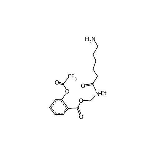 CCN(COC(=O)c1ccccc1OC(=O)C(F)(F)F)C(=O)CCCCCN